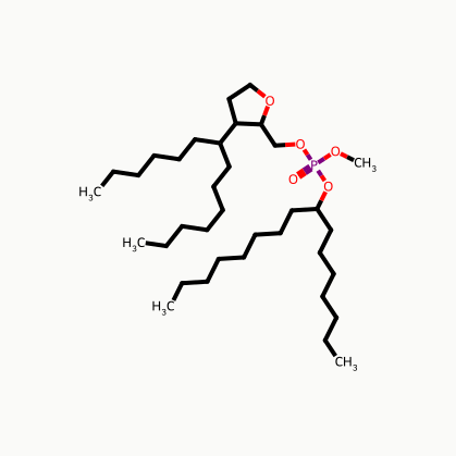 CCCCCCCCC(CCCCCCC)OP(=O)(OC)OCC1OCCC1C(CCCCCC)CCCCCCC